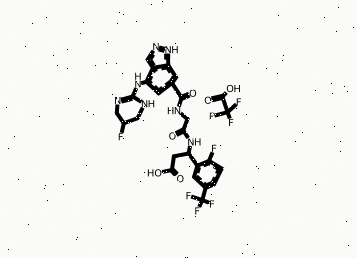 O=C(O)C(F)(F)F.O=C(O)CC(NC(=O)CNC(=O)c1cc(NC2=NCC(F)CN2)c2cn[nH]c2c1)c1cc(C(F)(F)F)ccc1F